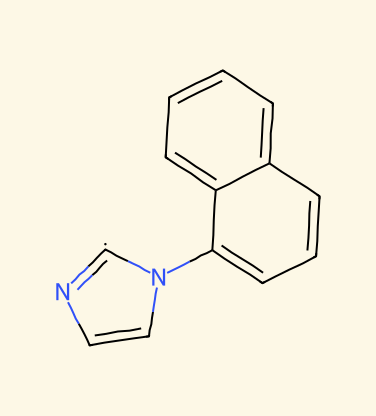 [c]1nccn1-c1cccc2ccccc12